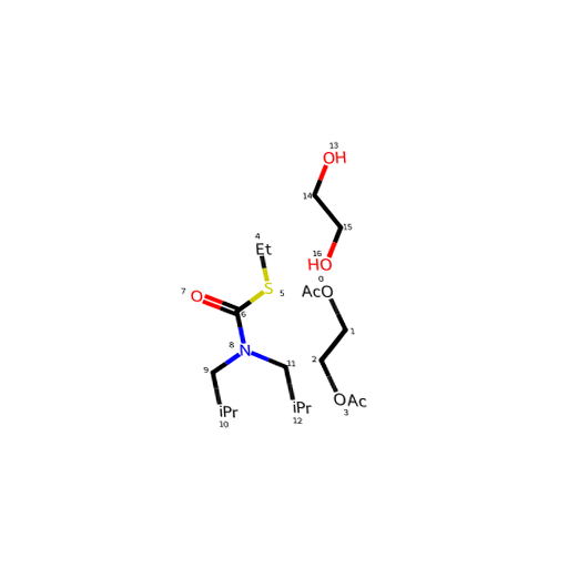 CC(=O)OCCOC(C)=O.CCSC(=O)N(CC(C)C)CC(C)C.OCCO